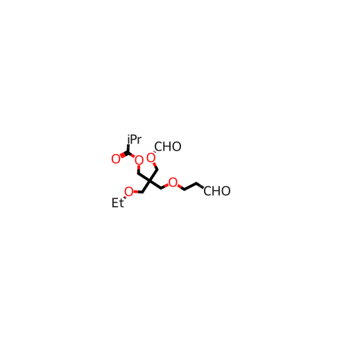 CCOCC(COC=O)(COCCC=O)COC(=O)C(C)C